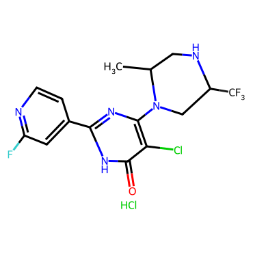 CC1CNC(C(F)(F)F)CN1c1nc(-c2ccnc(F)c2)[nH]c(=O)c1Cl.Cl